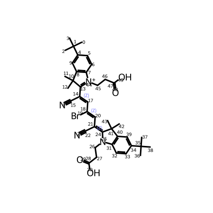 CC(C)(C)c1ccc2c(c1)C(C)(C)C(/C(C#N)=C/C(Br)=C/C(C#N)=C1/N(CCC(=O)O)c3ccc(C(C)(C)C)cc3C1(C)C)=[N+]2CCC(=O)O